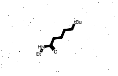 CCNC(=O)CCCCC(C)(C)C